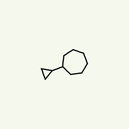 C1CCCC(C2CC2)CC1